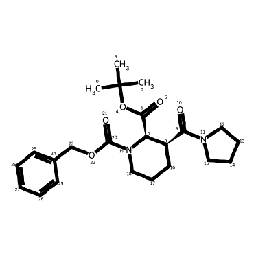 CC(C)(C)OC(=O)[C@H]1[C@@H](C(=O)N2CCCC2)CCCN1C(=O)OCc1ccccc1